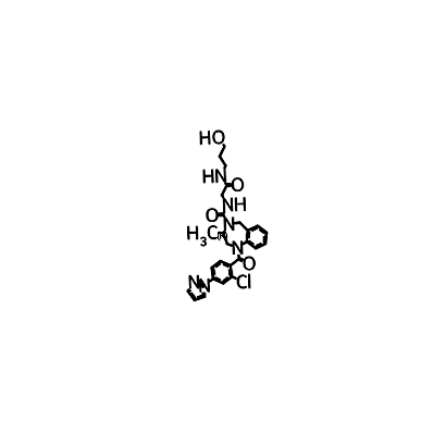 C[C@@H]1CN(C(=O)c2ccc(-n3cccn3)cc2Cl)c2ccccc2CN1C(=O)NCC(=O)NCCCO